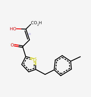 Cc1ccc(Cc2ccc(C(=O)/C=C(\O)C(=O)O)s2)cc1